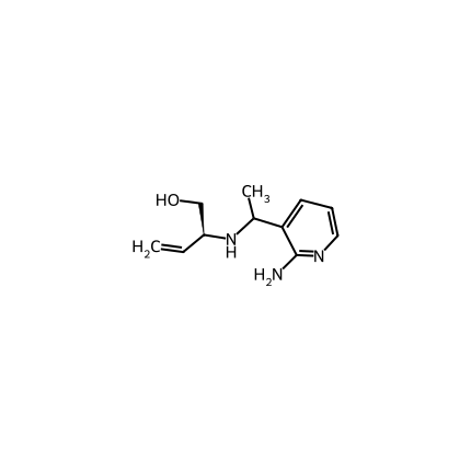 C=C[C@@H](CO)NC(C)c1cccnc1N